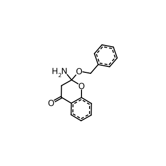 NC1(OCc2ccccc2)CC(=O)c2ccccc2O1